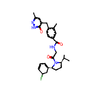 Cc1cc(Cc2ccc(C(=O)NCC(=O)N3[C@@H](C(C)C)CC[C@H]3C3=CC=CC(F)C3)cc2C)c(=O)[nH]n1